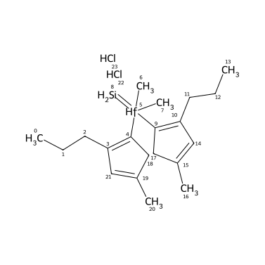 CCCC1=[C]([Hf]([CH3])([CH3])(=[SiH2])[C]2=C(CCC)C=C(C)C2)CC(C)=C1.Cl.Cl